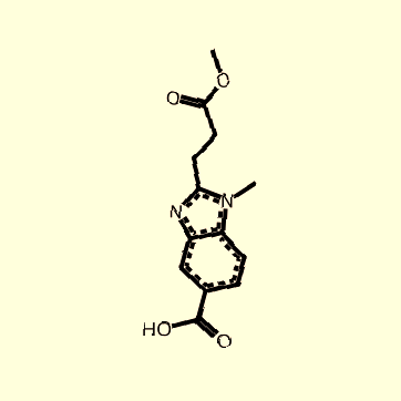 COC(=O)CCc1nc2cc(C(=O)O)ccc2n1C